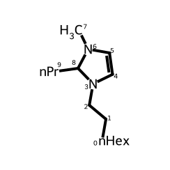 CCCCCCCCN1C=CN(C)C1CCC